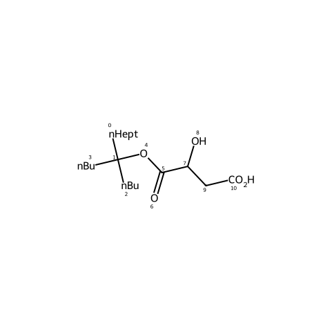 CCCCCCCC(CCCC)(CCCC)OC(=O)C(O)CC(=O)O